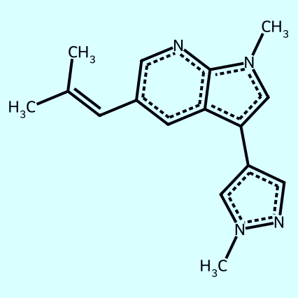 CC(C)=Cc1cnc2c(c1)c(-c1cnn(C)c1)cn2C